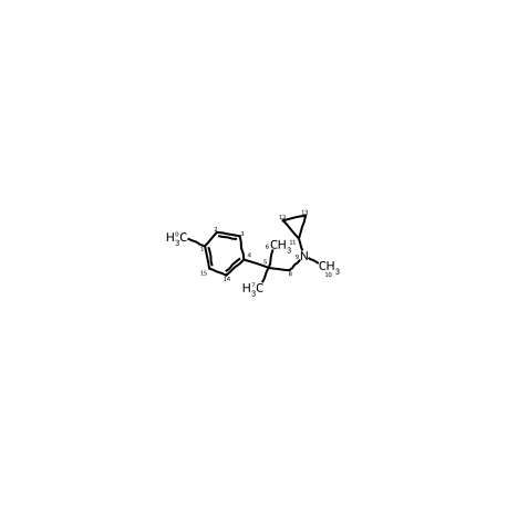 Cc1ccc(C(C)(C)CN(C)C2CC2)cc1